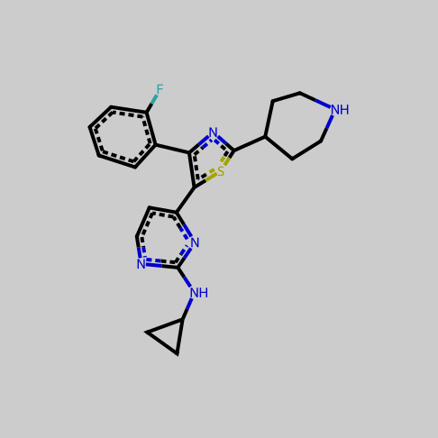 Fc1ccccc1-c1nc(C2CCNCC2)sc1-c1ccnc(NC2CC2)n1